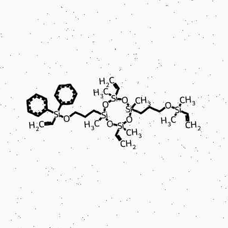 C=C[Si](C)(C)OCCC[Si]1(C)O[Si](C)(C=C)O[Si](C)(CCCO[Si](C=C)(c2ccccc2)c2ccccc2)O[Si](C)(C=C)O1